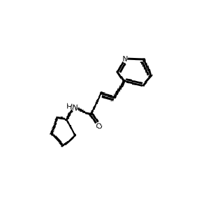 O=C(/C=C/c1cccnc1)NC1CCCC1